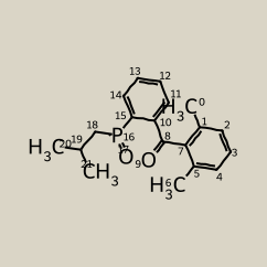 Cc1cccc(C)c1C(=O)c1ccccc1[P](=O)CC(C)C